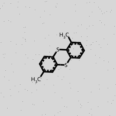 Cc1ccc2c(c1)Sc1cccc(C)c1S2